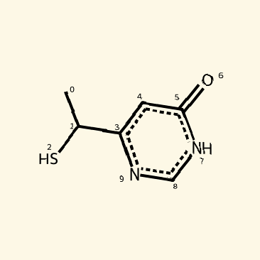 CC(S)c1cc(=O)[nH]cn1